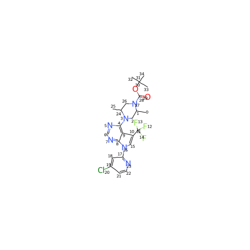 CC1CN(c2ncnc3c2c(C(F)(F)F)cn3-c2cc(Cl)ccn2)C(C)CN1C(=O)OC(C)(C)C